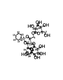 OC[C@H]1O[C@@H](OC[C@@H]2OC(c3ccccc3)O[C@H]([C@H]3COCO3)C2O[C@@H]2O[C@H](CO)[C@@H](O)[C@H](O)[C@H]2O)[C@H](O)[C@@H](O)[C@@H]1O